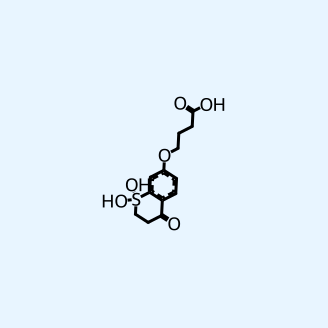 O=C(O)CCCOc1ccc2c(c1)S(O)(O)CCC2=O